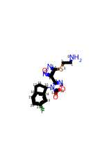 NCCSc1nonc1-c1noc(=O)n1[C@H]1CCc2ccc(F)cc21